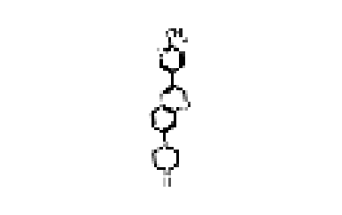 Cc1ccc(C2=Cc3ccc(N4CCNCC4)cc3OC2)cn1